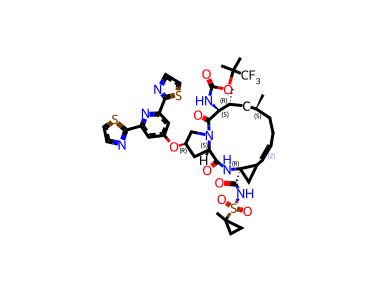 C[C@H]1CC/C=C\C2C[C@@]2(C(=O)NS(=O)(=O)C2(C)CC2)NC(=O)[C@@H]2C[C@@H](Oc3cc(-c4nccs4)nc(-c4nccs4)c3)CN2C(=O)[C@@H](NC(=O)OC(C)(C)C(F)(F)F)[C@H](C)C1